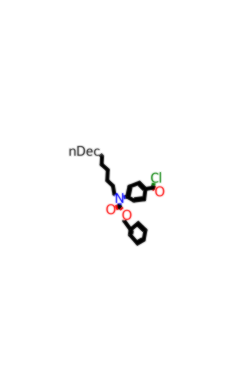 CCCCCCCCCCCCCCCCN(C(=O)OCc1ccccc1)c1ccc(C(=O)Cl)cc1